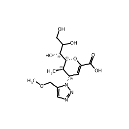 COCc1cnnn1[C@H]1C=C(C(=O)O)O[C@@H]([C@H](O)C(O)CO)[C@@H]1C